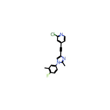 Cc1cc(-n2cc(C#Cc3ccnc(Cl)c3)nc2C)ccc1F